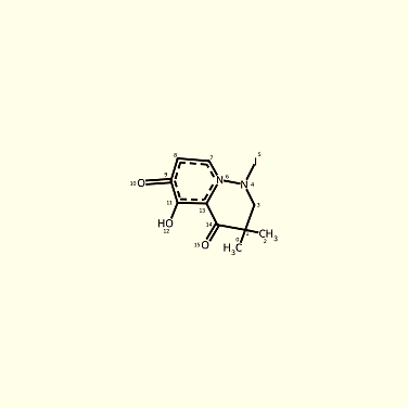 CC1(C)CN(I)n2ccc(=O)c(O)c2C1=O